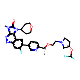 C[C@@H](OCCN1CC[C@H](OC(F)F)C1)c1ccc(-c2cc3c(cc2F)nnc2c3n(C3CCOCC3)c(=O)n2C)cn1